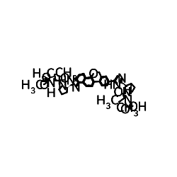 COC(=O)NC(C(=O)N1CCC[C@H]1c1nc2c(ccc3c4c(ccc32)-c2ccc(-c3cnc([C@H]5CCCN5C(=O)C(NC(=O)O)C(C)C)[nH]3)cc2CO4)[nH]1)C(C)C